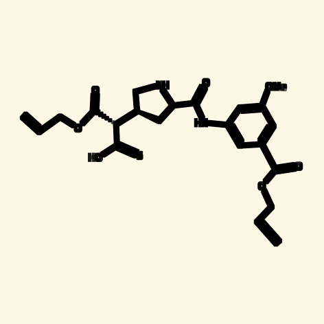 C=CCOC(=O)c1cc(NC(=O)C2C[C@@H]([C@@H](C(=O)OCC=C)C(O)=S)CN2)cc(OC)c1